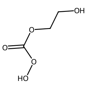 O=C(OO)OCCO